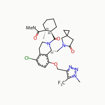 CNC(=O)[C@@]1(C)CCCC[C@H]1C(=O)N1CCc2c(Cl)ccc(OCc3nnn(C)c3C(F)(F)F)c2[C@H]1CN1CC2(CC2)CC1=O